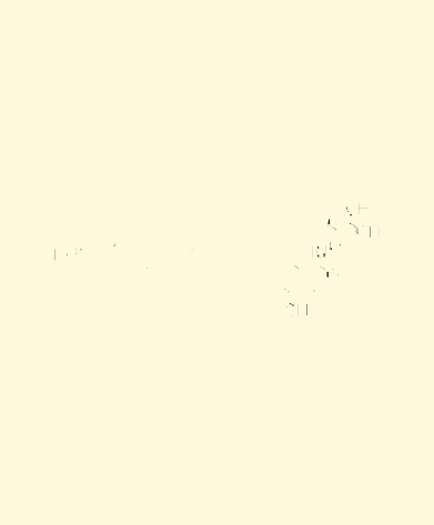 C=C(C)C(=O)ONC(=O)C(=CCCCCCCCCCCCCCCCCC)CCC